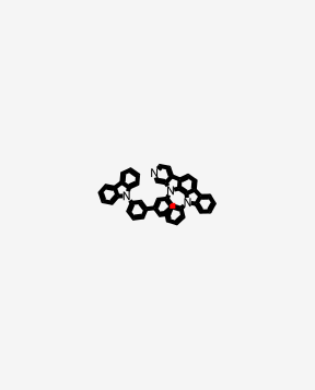 c1ccc(-n2c3ccccc3c3ccc4c5ccncc5n(-c5cccc(-c6cccc(-n7c8ccccc8c8ccccc87)c6)c5)c4c32)cc1